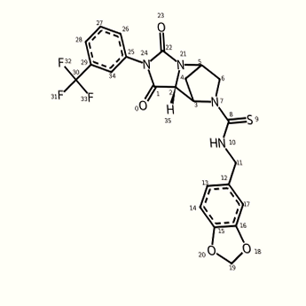 O=C1[C@H]2C3CC(CN3C(=S)NCc3ccc4c(c3)OCO4)N2C(=O)N1c1cccc(C(F)(F)F)c1